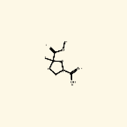 COC(=O)C1(C)CCC(C(=O)O)C1